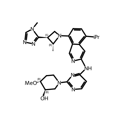 CO[C@@H]1CCN(c2nccc(Nc3cc4c(C(C)C)ccc(N5C[C@H](c6nncn6C)[C@H]5C)c4cn3)n2)C[C@H]1O